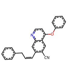 N#Cc1cc2c(Oc3ccccc3)ccnc2cc1/C=C\Cc1ccccc1